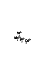 [Cd+2].[Mn+2].[Se-2].[Se-2]